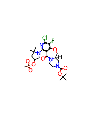 CC(C)(C)OC(=O)N1CCN2C(=O)c3c(N4CC(OS(C)(=O)=O)CC4(C)C)nc(Cl)c(F)c3OC[C@H]2C1